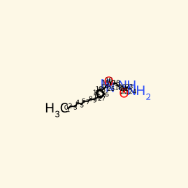 CCCCCCCCCCc1ccc(-c2noc(CCNC(=O)CN)n2)cc1